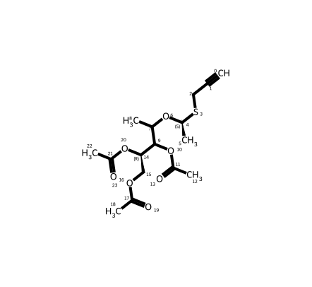 C#CCS[C@@H](C)OC(C)C(OC(C)=O)[C@@H](COC(C)=O)OC(C)=O